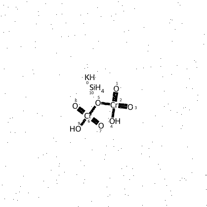 [KH].[O]=[Cr](=[O])([OH])[O][Cr](=[O])(=[O])[OH].[SiH4]